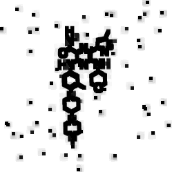 Cc1cc(-c2nc(C(N)=O)c(Nc3ccc(N4CCC(N5CCN(C)CC5)CC4)c(C)c3)nc2NC2CCOCC2)ns1